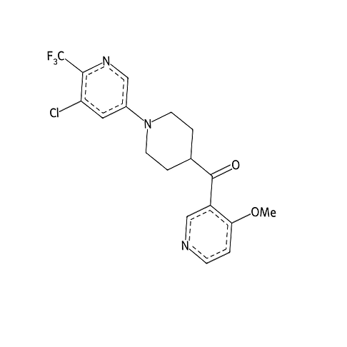 COc1ccncc1C(=O)C1CCN(c2cnc(C(F)(F)F)c(Cl)c2)CC1